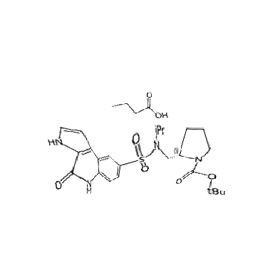 CC(C)N(C[C@@H]1CCCN1C(=O)OC(C)(C)C)S(=O)(=O)c1ccc2[nH]c(=O)c3[nH]ccc3c2c1.CCCC(=O)O